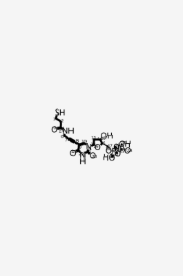 O=C(CCS)NCC#Cc1cn(C2C[C@H](O)[C@@H](COP(=O)(O)O[PH](=O)O)O2)c(=O)[nH]c1=O